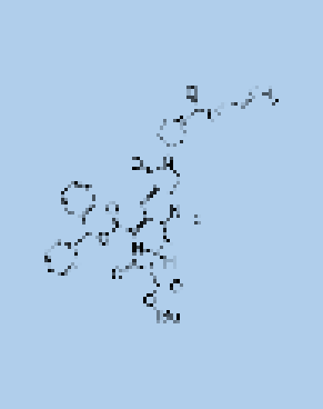 C=CCOC(=O)N1CC[C@@H](N2CCC(=CC3=C(C(=O)OC(c4ccccc4)c4ccccc4)N4C(=O)[C@H](C(=O)OC(C)(C)C)[C@H]4SC3N)C2=O)C1